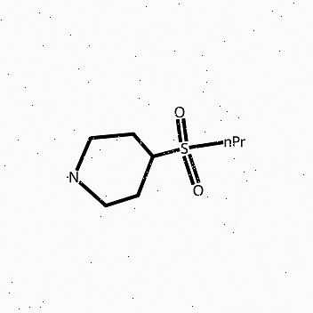 CCCS(=O)(=O)C1CC[N]CC1